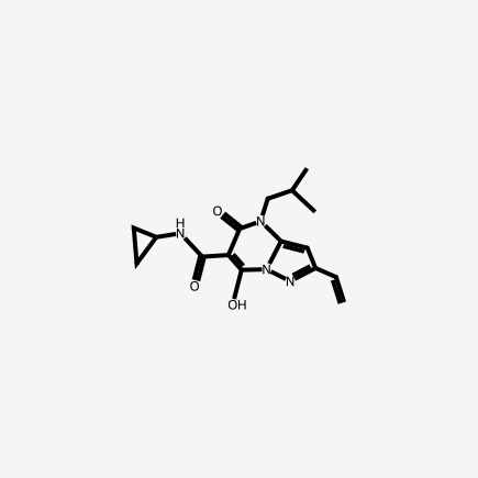 C=Cc1cc2n(CC(C)C)c(=O)c(C(=O)NC3CC3)c(O)n2n1